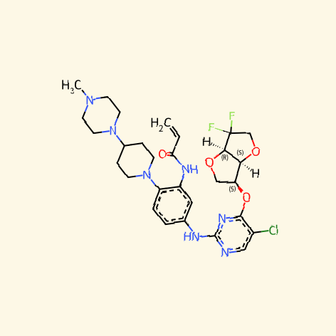 C=CC(=O)Nc1cc(Nc2ncc(Cl)c(O[C@H]3CO[C@@H]4[C@H]3OCC4(F)F)n2)ccc1N1CCC(N2CCN(C)CC2)CC1